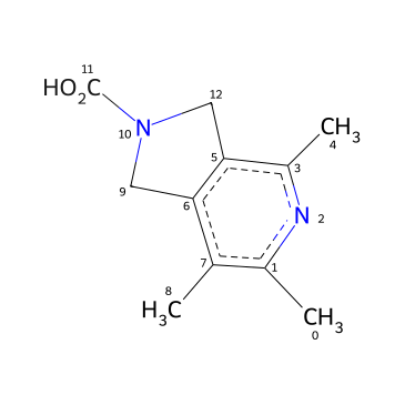 Cc1nc(C)c2c(c1C)CN(C(=O)O)C2